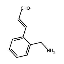 NCc1ccccc1C=C[C]=O